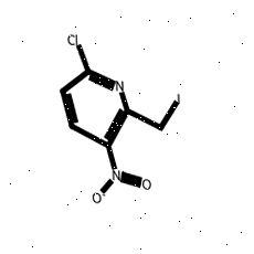 O=[N+]([O-])c1ccc(Cl)nc1CI